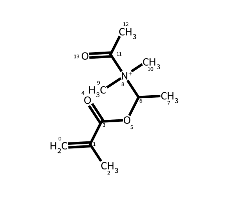 C=C(C)C(=O)OC(C)[N+](C)(C)C(C)=O